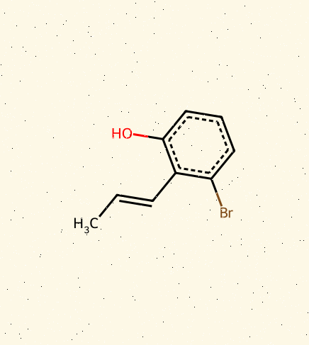 CC=Cc1c(O)cccc1Br